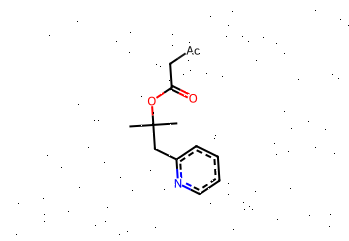 CC(=O)CC(=O)OC(C)(C)Cc1ccccn1